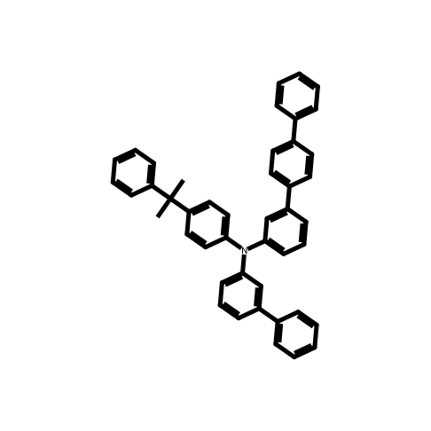 CC(C)(c1ccccc1)c1ccc(N(c2cccc(-c3ccccc3)c2)c2cccc(-c3ccc(-c4ccccc4)cc3)c2)cc1